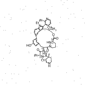 CCn1c(-c2cccnc2C(C)C)c2c3cc(ccc31)-c1cc(O)cc(c1)C[C@H](NC(=O)[C@H](C(C)C)N(C)C(=O)C1(F)CCNCC1)C(=O)N1CCC[C@H](N1)C(=O)OCC(C)(C)C2